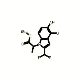 CC(C(=O)OC(C)(C)C)n1c(C(F)F)cc2c(Cl)c(C#N)ccc21